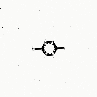 Cc1nnc(Cl)nn1